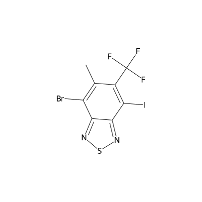 Cc1c(C(F)(F)F)c(I)c2nsnc2c1Br